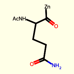 CC(=O)NC(CCC(N)=O)[C](=O)[Zn]